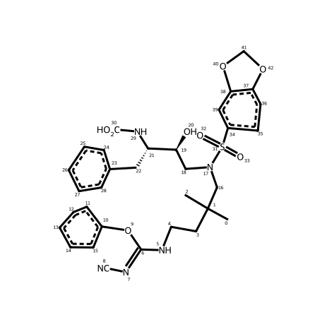 CC(C)(CCNC(=NC#N)Oc1ccccc1)CN(C[C@H](O)[C@H](Cc1ccccc1)NC(=O)O)S(=O)(=O)c1ccc2c(c1)OCO2